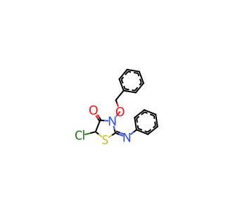 O=C1C(Cl)SC(=Nc2ccccc2)N1OCc1ccccc1